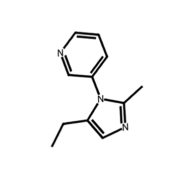 CCc1cnc(C)n1-c1cccnc1